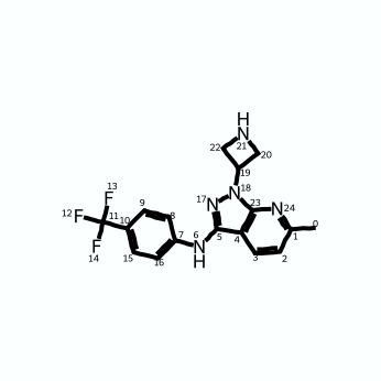 Cc1ccc2c(Nc3ccc(C(F)(F)F)cc3)nn(C3CNC3)c2n1